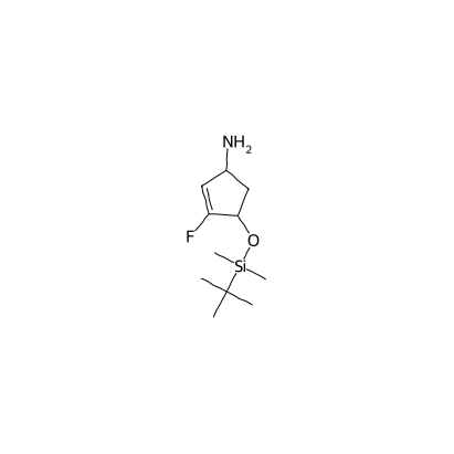 CC(C)(C)[Si](C)(C)OC1CC(N)C=C1F